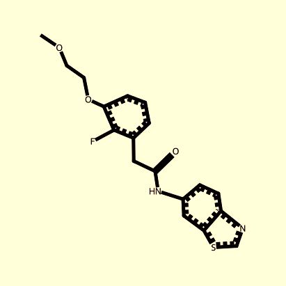 COCCOc1cccc(CC(=O)Nc2ccc3ncsc3c2)c1F